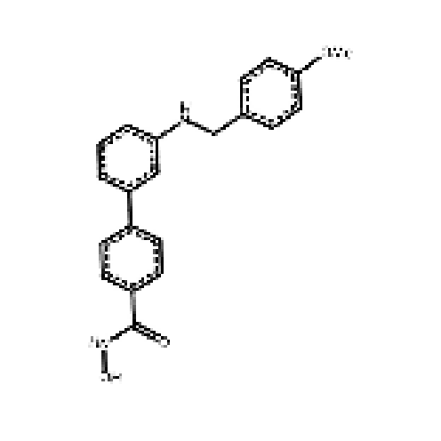 COc1ccc(CNc2cccc(-c3ccc(C(=O)NO)cc3)c2)cc1